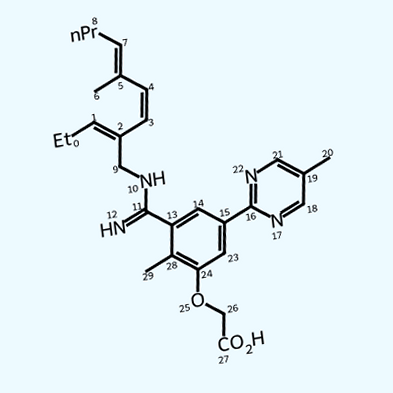 CC/C=C(/C=C\C(C)=C\CCC)CNC(=N)c1cc(-c2ncc(C)cn2)cc(OCC(=O)O)c1C